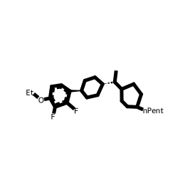 CCCCCC1CCC(C(C)[C@H]2CC[C@H](c3ccc(OCC)c(F)c3F)CC2)CC1